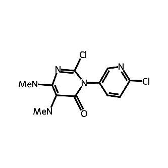 CNc1nc(Cl)n(-c2ccc(Cl)nc2)c(=O)c1NC